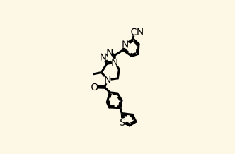 CC1c2nnc(-c3cccc(C#N)n3)n2CCN1C(=O)c1ccc(-c2cccs2)cc1